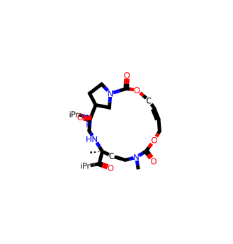 CC(C)N[C@]12CCN(C1)C(=O)OCC=CCOC(=O)N(C)CC[C@@](C)(C(=O)C(C)C)NCC2=O